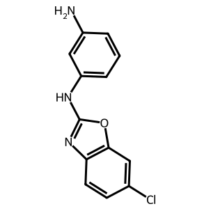 Nc1cccc(Nc2nc3ccc(Cl)cc3o2)c1